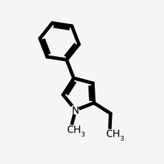 CCc1cc(-c2ccccc2)cn1C